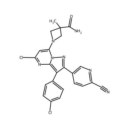 CC1(C(N)=O)CN(c2cc(Cl)nc3c(-c4ccc(Cl)cc4)c(-c4ccc(C#N)nc4)nn23)C1